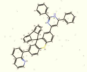 C1=C(c2ccc3c(c2)C2(c4cc(-c5cccc6cccnc56)ccc4S3)c3ccccc3-c3ccccc32)N=C(c2ccccc2)NC1c1ccccc1